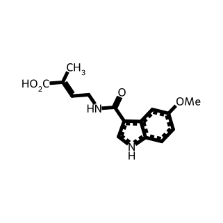 COc1ccc2[nH]cc(C(=O)NCC=C(C)C(=O)O)c2c1